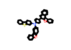 c1ccc2c(c1)cc(-c1ccc(N(c3ccc4c(c3)sc3ccccc34)c3ccc4oc5ccccc5c4c3)cc1)c1oc3ccccc3c12